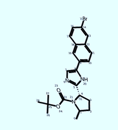 CC1CC[C@@H](c2ncc(-c3ccc4cc(Br)ccc4c3)[nH]2)N1C(=O)OC(C)(C)C